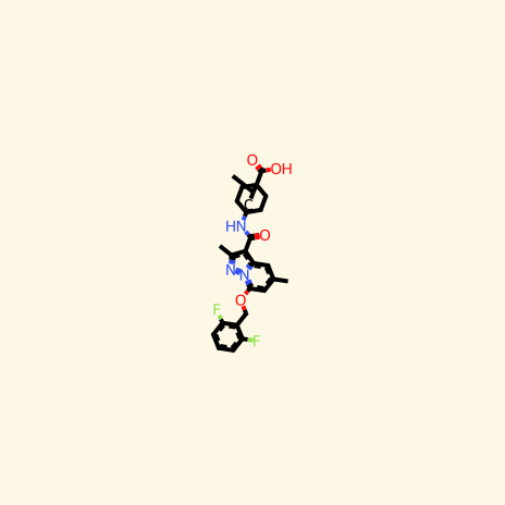 Cc1cc(OCc2c(F)cccc2F)n2nc(C)c(C(=O)NC34CCC(C(=O)O)(CC3)C(C)C4)c2c1